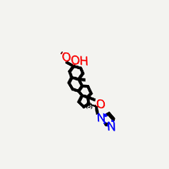 COCC1(O)CCC2(C)C(CCC3C2CCC2(C)C3CC[C@@H]2C(=O)Cn2ccnc2)C1